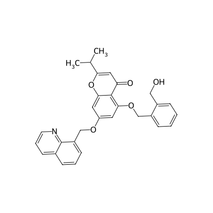 CC(C)c1cc(=O)c2c(OCc3ccccc3CO)cc(OCc3cccc4cccnc34)cc2o1